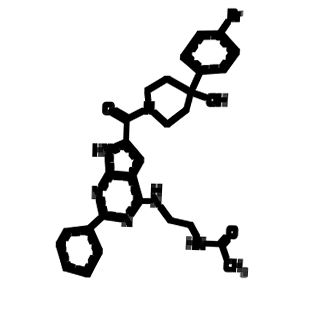 CC(=O)NCCNc1nc(-c2ccccc2)nc2[nH]c(C(=O)N3CCC(O)(c4ccc(Br)cc4)CC3)cc12